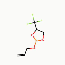 C=CCOP1OCC(C(F)(F)F)O1